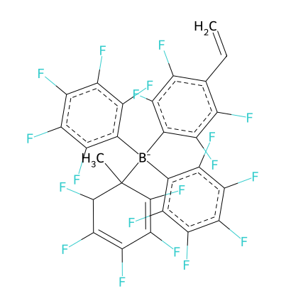 C=Cc1c(F)c(F)c([B-](c2c(F)c(F)c(F)c(F)c2F)(c2c(F)c(F)c(F)c(F)c2F)C2(C)C(F)=C(F)C(F)=C(F)C2F)c(F)c1F